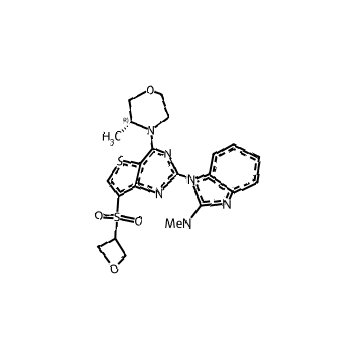 CNc1nc2ccccc2n1-c1nc(N2CCOC[C@H]2C)c2scc(S(=O)(=O)C3COC3)c2n1